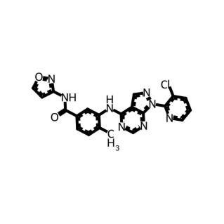 Cc1ccc(C(=O)Nc2ccon2)cc1Nc1ncnc2c1cnn2-c1ncccc1Cl